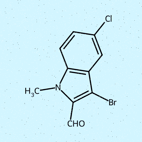 Cn1c(C=O)c(Br)c2cc(Cl)ccc21